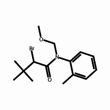 COCN(C(=O)C(Br)C(C)(C)C)c1ccccc1C